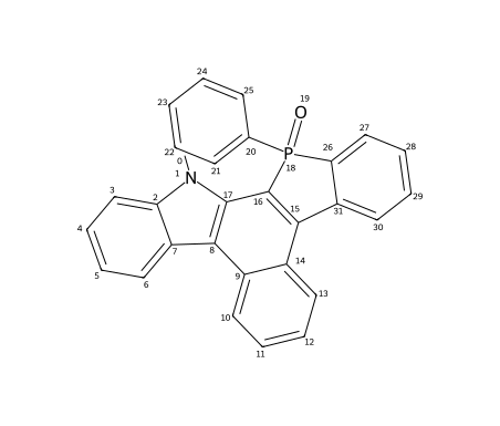 Cn1c2ccccc2c2c3ccccc3c3c(c21)P(=O)(c1ccccc1)c1ccccc1-3